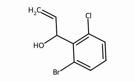 C=CC(O)c1c(Cl)cccc1Br